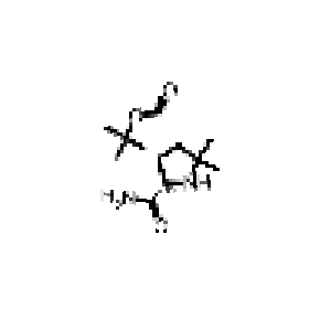 CC(C)(C)OC=O.CC1(C)CC[C@@H](C(N)=O)N1